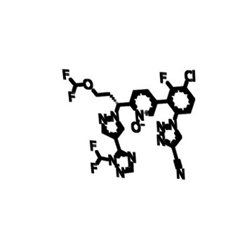 N#Cc1cn(-c2ccc(Cl)c(F)c2-c2ccc([C@@H](CCOC(F)F)n3cc(-c4ncnn4C(F)F)cn3)[n+]([O-])c2)nn1